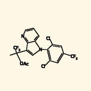 CC(=O)OC(C)(c1cn(-c2c(Cl)cc(C(F)(F)F)cc2Cl)c2cccnc12)C(F)(F)F